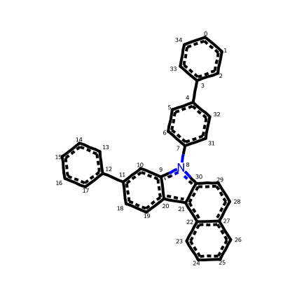 c1ccc(-c2ccc(-n3c4cc(-c5ccccc5)ccc4c4c5ccccc5ccc43)cc2)cc1